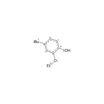 CCOc1cc(C(C)CC)ccc1O